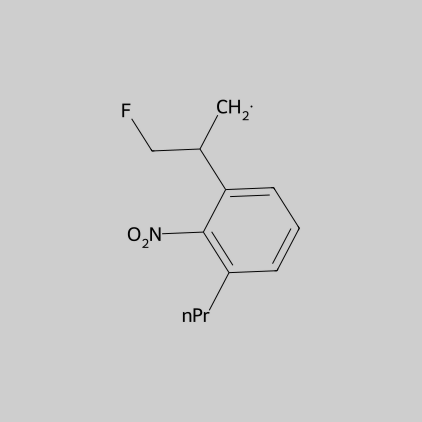 [CH2]C(CF)c1cccc(CCC)c1[N+](=O)[O-]